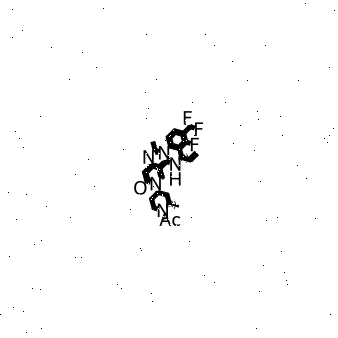 C=C[C@@H](Nc1nc(C)nc2cc(=O)n(C3CCN(C(C)=O)[C@H](C)C3)cc12)c1cccc(C(F)F)c1F